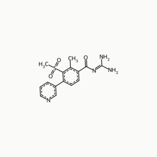 Cc1c(C(=O)N=C(N)N)ccc(-c2cccnc2)c1S(C)(=O)=O